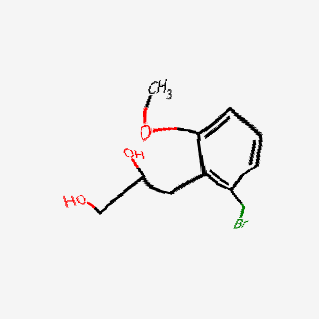 COc1cccc(Br)c1CC(O)CO